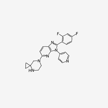 Fc1ccc(-c2nc3ccc(N4CCNC5(CC5)C4)nc3n2-c2ccncc2)c(F)c1